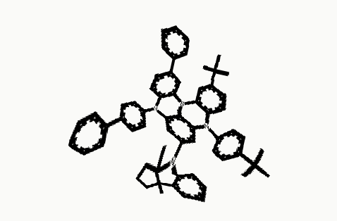 CC(C)(C)c1ccc(N2c3ccc(C(C)(C)C)cc3B3c4cc(-c5ccccc5)ccc4N(c4ccc(-c5ccccc5)cc4)c4cc(N5c6ccccc6C6(C)CCCC56C)cc2c43)cc1